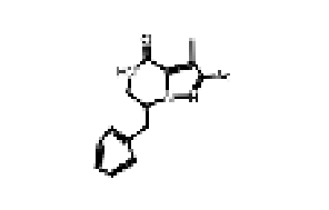 CC(=O)c1nn2c(c1C)C(=O)NCC2Cc1ccccc1